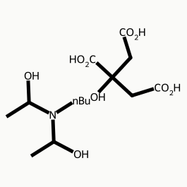 CCCCN(C(C)O)C(C)O.O=C(O)CC(O)(CC(=O)O)C(=O)O